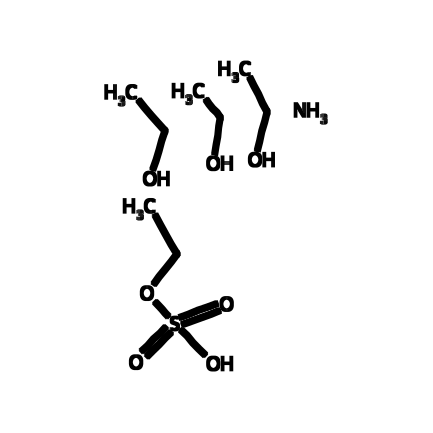 CCO.CCO.CCO.CCOS(=O)(=O)O.N